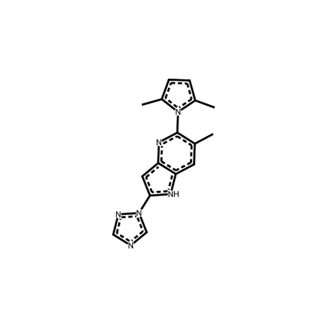 Cc1cc2[nH]c(-n3cncn3)cc2nc1-n1c(C)ccc1C